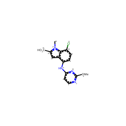 COc1nccc(Nc2ccc(Cl)c3c2cc(C(=O)O)n3C)n1